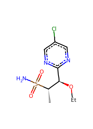 CCO[C@H](c1ncc(Cl)cn1)[C@H](C)S(N)(=O)=O